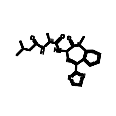 CC(C)CC(=O)N[C@@H](C)C(=O)NC1N=C(c2nccs2)c2ccccc2N(C)C1=O